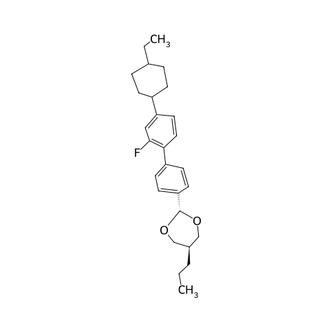 CCC[C@H]1CO[C@H](c2ccc(-c3ccc(C4CCC(CC)CC4)cc3F)cc2)OC1